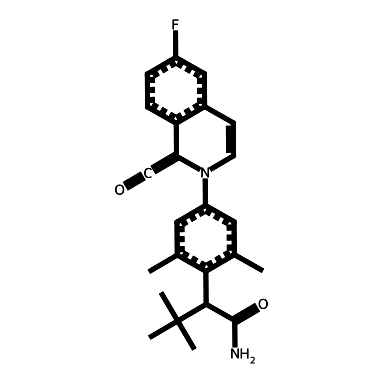 Cc1cc(N2C=Cc3cc(F)ccc3C2=C=O)cc(C)c1C(C(N)=O)C(C)(C)C